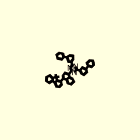 CC1(C)c2ccccc2-c2cccc(-c3ccc(-c4nc(-c5cccc(-c6ccccc6)c5)nc(-c5cccc(-c6ccccc6)c5)n4)c4ccccc34)c21